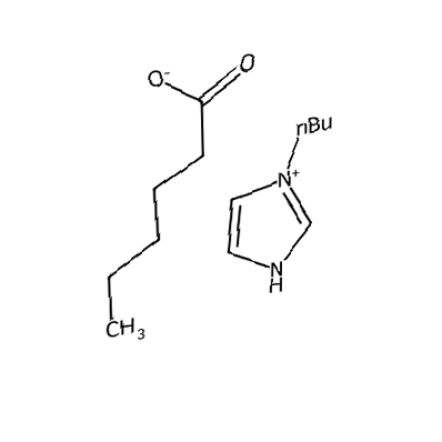 CCCCCC(=O)[O-].CCCC[n+]1cc[nH]c1